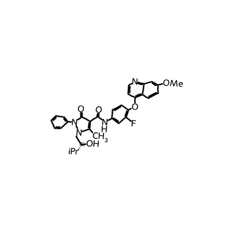 COc1ccc2c(Oc3ccc(NC(=O)c4c(C)n(C[C@H](O)C(C)C)n(-c5ccccc5)c4=O)cc3F)ccnc2c1